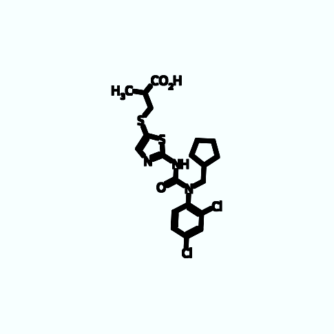 CC(CSc1cnc(NC(=O)N(CC2CCCC2)c2ccc(Cl)cc2Cl)s1)C(=O)O